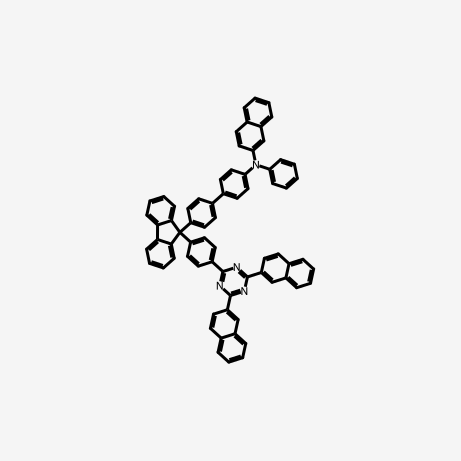 c1ccc(N(c2ccc(-c3ccc(C4(c5ccc(-c6nc(-c7ccc8ccccc8c7)nc(-c7ccc8ccccc8c7)n6)cc5)c5ccccc5-c5ccccc54)cc3)cc2)c2ccc3ccccc3c2)cc1